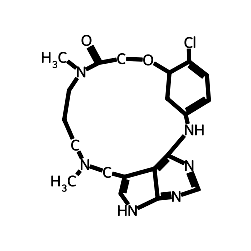 CN1CCCN(C)C(=O)COC2CC(=CC=C2Cl)Nc2ncnc3[nH]cc(c23)C1